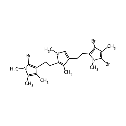 Cc1c(CCc2c(Br)c(C)c(Br)n2C)cn(C)c1CCc1c(C)c(C)n(C)c1Br